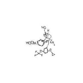 CC[C@@]1(NCc2cc(OC(F)(F)F)ccc2OC2CC2)CC[C@@H]2N[C@@]1(c1ccccc1)C[C@H]2CO.Cl.Cl